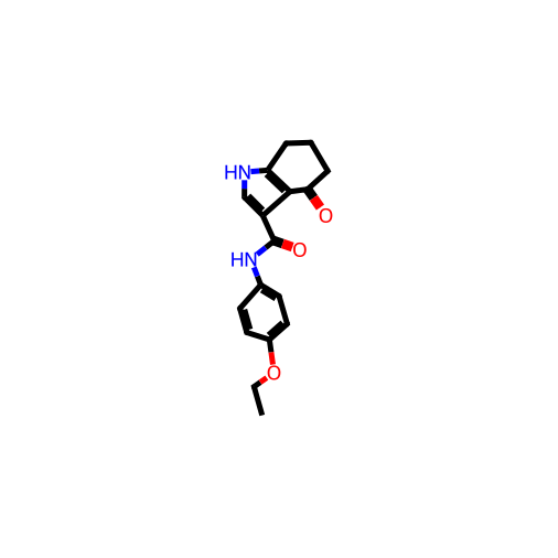 CCOc1ccc(NC(=O)c2c[nH]c3c2C(=O)CCC3)cc1